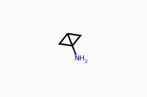 NC12CC1C2